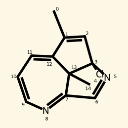 CC1=CC2(Cl)N=CC3=NC=CC=C1C32C